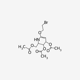 CC(=O)OCC1NC(OCCBr)=CC(OC(C)=O)C1OC(C)=O